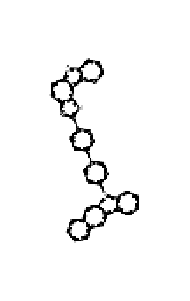 c1ccc2cc3c(cc2c1)c1ccccc1n3-c1ccc(-c2ccc(-c3nc4c(ccc5sc6ccccc6c54)s3)cc2)cc1